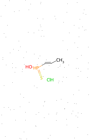 CC=C[PH](O)=S.Cl